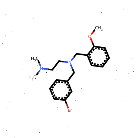 COc1ccccc1CN(CCN(C)C)Cc1cccc(Br)c1